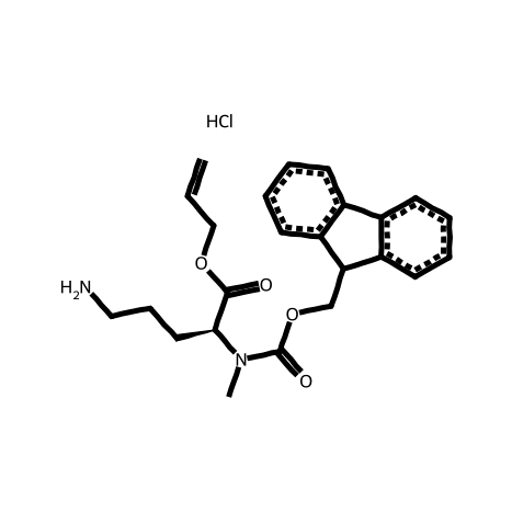 C=CCOC(=O)[C@H](CCCN)N(C)C(=O)OCC1c2ccccc2-c2ccccc21.Cl